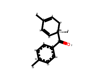 CC1=CC[C@@](C)(C(=O)c2ccc(C)cc2)C=C1